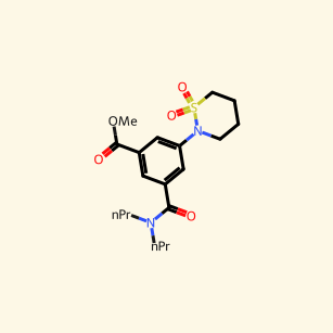 CCCN(CCC)C(=O)c1cc(C(=O)OC)cc(N2CCCCS2(=O)=O)c1